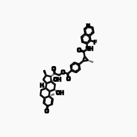 C[C@H]1C(C(=O)Nc2ccc3cnccc3c2F)C1c1ccc(C(=O)OCC(=O)[C@H]2[C@H](C)CC3[C@@H]4CCC5=CC(=O)C=C[C@]5(C)C4[C@@H](O)C[C@@]32O)cc1